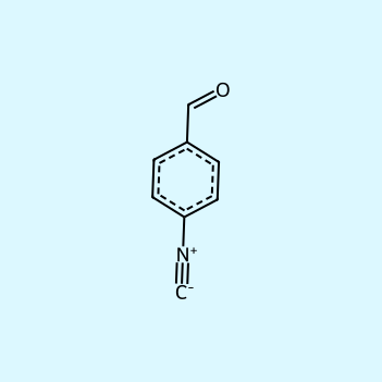 [C-]#[N+]c1ccc(C=O)cc1